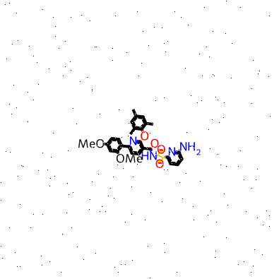 COc1ccc(-c2ccc(C(=O)NS(=O)(=O)c3cccc(N)n3)c(Oc3c(C)cc(C)cc3C)n2)c(OC)c1